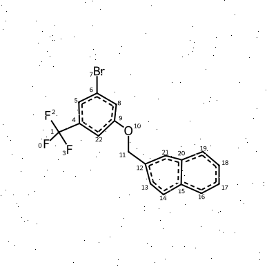 FC(F)(F)c1cc(Br)cc(OCc2ccc3ccccc3c2)c1